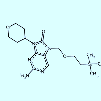 C[Si](C)(C)CCOCn1c(=O)n(C2CCOCC2)c2nc(N)ncc21